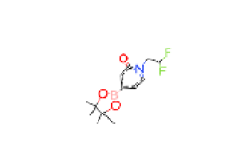 CC1(C)OB(c2ccn(CC(F)F)c(=O)c2)OC1(C)C